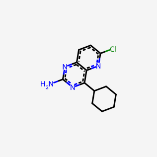 Nc1nc(C2CCCCC2)c2nc(Cl)ccc2n1